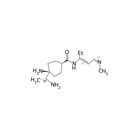 CC/C(=C\C=N/C)NC(=O)[C@H]1CC[C@](N)([C@@H](C)N)CC1